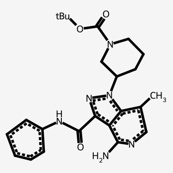 Cc1cnc(N)c2c(C(=O)Nc3ccccc3)nn(C3CCCN(C(=O)OC(C)(C)C)C3)c12